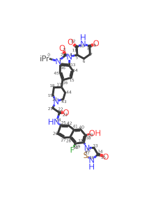 CC(C)n1c(=O)n(C2CCC(=O)NC2=O)c2ccc(C3CCN(CC(=O)Nc4ccc5c(F)c(N6CC(=O)NS6)c(O)cc5c4)CC3)cc21